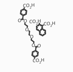 O=C(O)c1ccc(C(=O)OCCOCCOCCOC(=O)c2ccc(C(=O)O)cc2)cc1.O=C(O)c1ccc2ccccc2c1C(=O)O